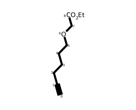 C#CCCCCOCC(=O)OCC